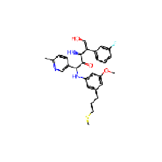 COc1cc(CCCSC)cc(NC(C(=O)C(=N)/C(=C\O)c2cccc(F)c2)c2ccc(C)nc2)c1